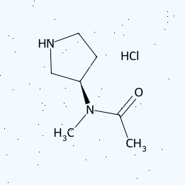 CC(=O)N(C)[C@@H]1CCNC1.Cl